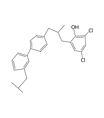 CC(C)Cc1cccc(-c2ccc(CC(C)Cc3cc(Cl)cc(Cl)c3O)cc2)c1